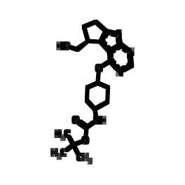 CC(C)(C)OC(=O)NC1CCC(Oc2ncnc3sc4c(c23)[C@@H](CO)CC4)CC1